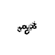 O=C(NC(c1cccc(-c2cnccn2)c1)[C@@H]1CCCCN1)c1cccc(C(F)(F)F)c1Cl